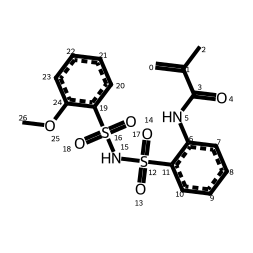 C=C(C)C(=O)Nc1ccccc1S(=O)(=O)NS(=O)(=O)c1ccccc1OC